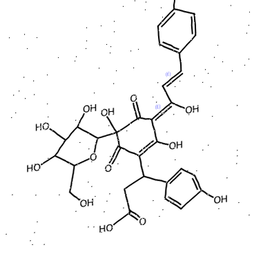 O=C(O)CC(C1=C(O)/C(=C(O)/C=C/c2ccc(O)cc2)C(=O)C(O)(C2OC(CO)C(O)C(O)C2O)C1=O)c1ccc(O)cc1